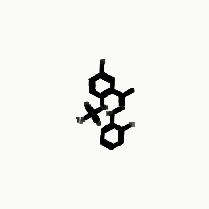 CC(=NNc1ccccc1Cl)c1cc(Cl)ccc1NS(=O)(=O)C(F)(F)F